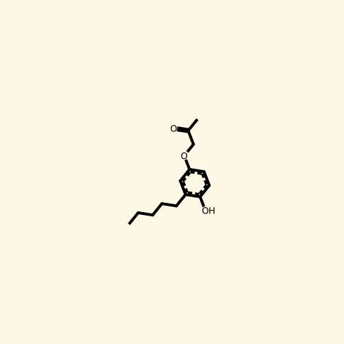 CCCCCc1cc(OCC(C)=O)ccc1O